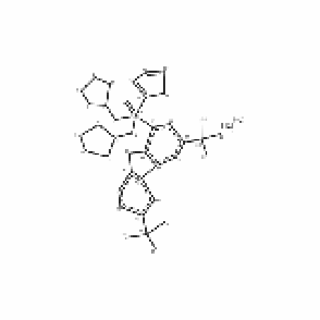 Cl.Cl.[CH2]=[Zr]([CH2]C1CCCC1)([CH2]C1CCCC1)([C]1=CC=CC1)[c]1cc(C(C)(C)C)cc2c1Cc1ccc(C(C)(C)C)cc1-2